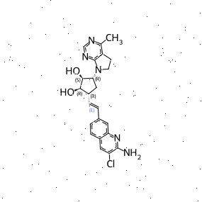 Cc1ncnc2c1CCN2[C@@H]1C[C@H](/C=C/c2ccc3cc(Cl)c(N)nc3c2)[C@@H](O)[C@H]1O